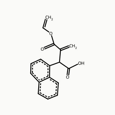 C=COC(=O)C(=C)C(C(=O)O)c1cccc2ccccc12